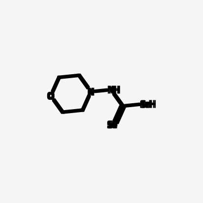 [Se]=C([SeH])NN1CCOCC1